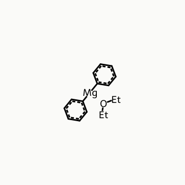 CCOCC.c1cc[c]([Mg][c]2ccccc2)cc1